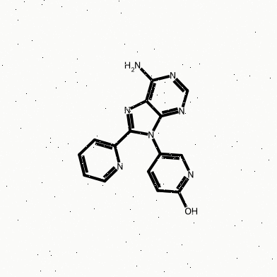 Nc1ncnc2c1nc(-c1ccccn1)n2-c1ccc(O)nc1